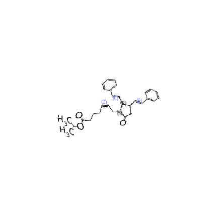 CC(C)OC(=O)CCC/C=C\C[C@H]1C(=O)CC(/C=C/c2ccccc2)[C@@H]1/C=C/c1ccccc1